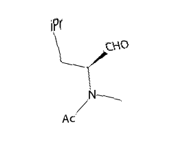 CC(=O)N(C)[C@H](C=O)CC(C)C